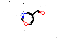 O=CC1=CN=COC=C1